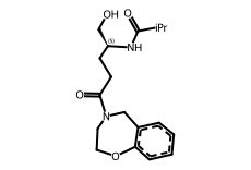 CC(C)C(=O)N[C@H](CO)CCC(=O)N1CCOc2ccccc2C1